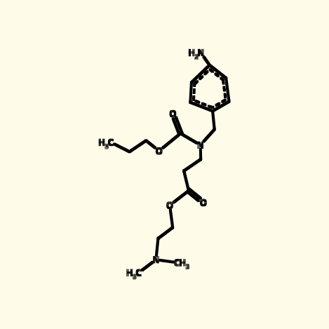 CCCOC(=O)N(CCC(=O)OCCN(C)C)Cc1ccc(N)cc1